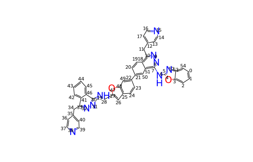 c1ccc2oc(Nc3nnc(Cc4ccncc4)c4ccc(-c5ccc6cc(CNc7nnc(Cc8ccncc8)c8ccccc78)oc6c5)cc34)nc2c1